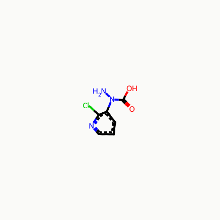 NN(C(=O)O)c1cccnc1Cl